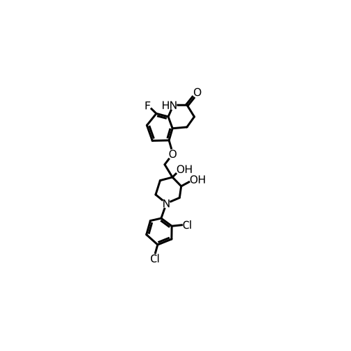 O=C1CCc2c(OCC3(O)CCN(c4ccc(Cl)cc4Cl)CC3O)ccc(F)c2N1